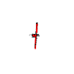 CCCCCCCCCCCCCCCCC[CH2][Mo][CH2]CCCCCCCCCCCCCCCCC.OP(O)(O)=S.OP(O)(O)=S